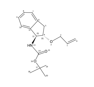 C=CCO[C@H]1Cc2ccccc2[C@@H]1NC(=O)OC(C)(C)C